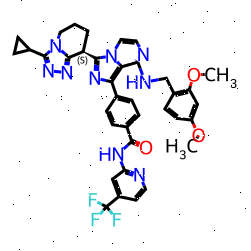 COc1ccc(CNc2nccn3c([C@@H]4CCCn5c(C6CC6)nnc54)nc(-c4ccc(C(=O)Nc5cc(C(F)(F)F)ccn5)cc4)c23)c(OC)c1